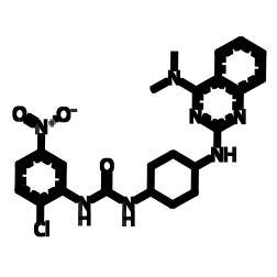 CN(C)c1nc(NC2CCC(NC(=O)Nc3cc([N+](=O)[O-])ccc3Cl)CC2)nc2ccccc12